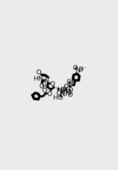 O=c1ccn([C@@H]2O[C@H](COP(=O)(O)OP(=O)(O)OP(=O)(O)Cc3ccc([N+](=O)[O-])cc3)C3OC(Cc4ccccc4)O[C@@H]32)c(=O)[nH]1